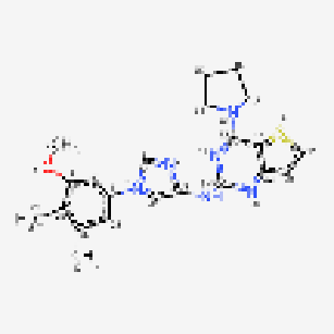 COc1cc(-n2cnc(Nc3nc(N4CCCC4)c4sccc4n3)c2)cc(C)c1C